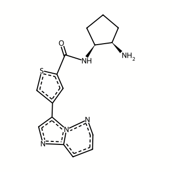 N[C@@H]1CCC[C@@H]1NC(=O)c1cc(-c2cnc3cccnn23)cs1